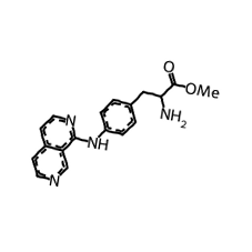 COC(=O)C(N)Cc1ccc(Nc2nccc3ccncc23)cc1